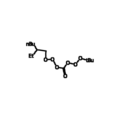 CCCCC(CC)COOOC(=O)OOOC(C)(C)C